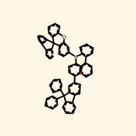 c1ccc(-c2ccccc2N(c2ccc(-c3ccc4c(c3)C(c3ccccc3)(c3ccccc3)c3ccccc3-4)cc2)c2ccc3c(c2)Oc2ccccc2C32c3ccccc3-c3ccccc32)cc1